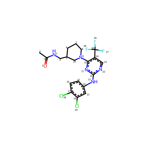 CC(=O)NCC1CCCN(c2nc(Nc3ccc(Cl)c(Cl)c3)ncc2C(F)(F)F)C1